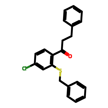 O=C(CCc1ccccc1)c1ccc(Cl)cc1SCc1ccccc1